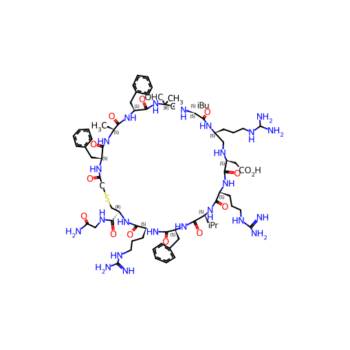 CC[C@H](C)[C@@H]1NC[C@](C)(C=O)NC(=O)[C@H](Cc2ccccc2)NC(=O)[C@H](C)NC(=O)[C@H](Cc2ccccc2)NC(=O)CSC[C@@H](C(=O)NCC(N)=O)NC(=O)[C@H](CCCNC(=N)N)NC(=O)[C@H](Cc2ccccc2)NC(=O)[C@H](C(C)C)NC(=O)[C@H](CCCNC(=N)N)NC(=O)[C@H](CC(=O)O)NC[C@H](CCCNC(N)N)NC1=O